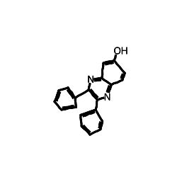 Oc1ccc2nc(-c3ccccc3)c(-c3ccccc3)nc2c1